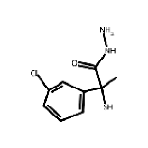 CC(S)(C(=O)NN)c1cccc(Cl)c1